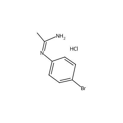 CC(N)=Nc1ccc(Br)cc1.Cl